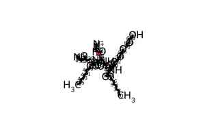 CCCCCCCCOC(=O)[C@H](CCC(=O)N[C@@H](CCC(=O)C=[N+]=[N-])C(=O)N[C@@H](CCC(=O)C=[N+]=[N-])C(=O)OCCCCCCCC)NC(=O)COCCOCCOCCOCCO